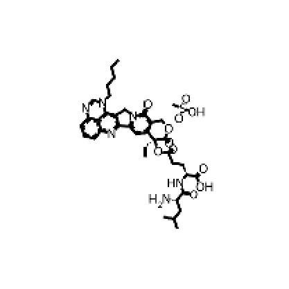 CCCCCN1C=Nc2cccc3nc4c(c1c23)Cn1c-4cc2c(c1=O)COC(=O)[C@@]2(CC)OC(=O)CC[C@H](NC(=O)[C@@H](N)CC(C)C)C(=O)O.CS(=O)(=O)O